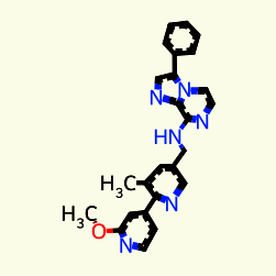 COc1cc(-c2ncc(CNc3nccn4c(-c5ccccc5)cnc34)cc2C)ccn1